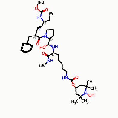 CC(C)C[C@@H](/C=C/[C@H](Cc1ccccc1)C(=O)N1CCC[C@H]1C(O)N[C@@H](CCCCCNC(=O)OC1CC(C)(C)N(O)C(C)(C)C1)C(=O)NC(C)(C)C)NC(=O)OC(C)(C)C